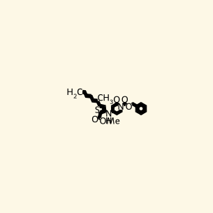 C=C/C=C/C=C(\C)c1cc(NC2CCN(C(=O)OCc3ccccc3)C(=O)C2)c(C(=O)OC)s1